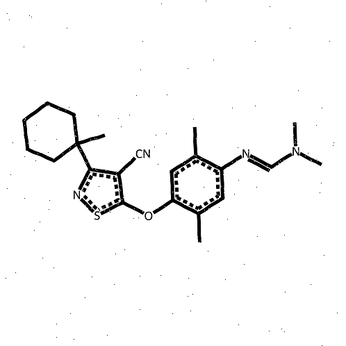 Cc1cc(Oc2snc(C3(C)CCCCC3)c2C#N)c(C)cc1N=CN(C)C